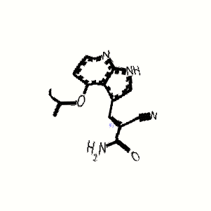 CC(C)Oc1ccnc2[nH]cc(/C=C(\C#N)C(N)=O)c12